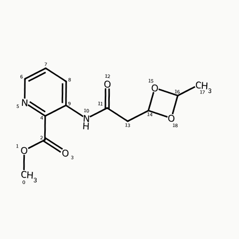 COC(=O)c1ncccc1NC(=O)CC1OC(C)O1